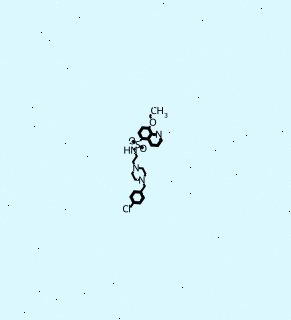 CCOc1ccc(S(=O)(=O)NCCN2CCN(Cc3ccc(Cl)cc3)CC2)c2cccnc12